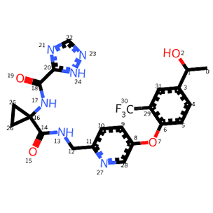 CC(O)c1ccc(Oc2ccc(CNC(=O)C3(NC(=O)c4ncn[nH]4)CC3)nc2)c(C(F)(F)F)c1